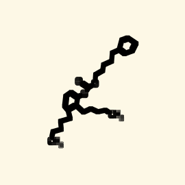 CCCCCc1cccc(OC(=O)OCCCCCc2ccccc2)c1CCCCC